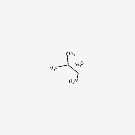 CC(C)CN.O